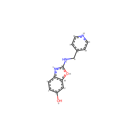 Oc1ccc2nc(NCc3ccncc3)oc2c1